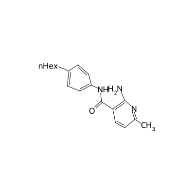 CCCCCCc1ccc(NC(=O)c2ccc(C)nc2N)cc1